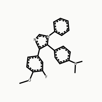 COc1ccc(-c2ncn(-c3ccccc3)c2-c2ccc(N(C)C)cc2)cc1F